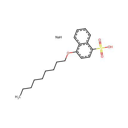 CCCCCCCCCOc1ccc(S(=O)(=O)O)c2ccccc12.[NaH]